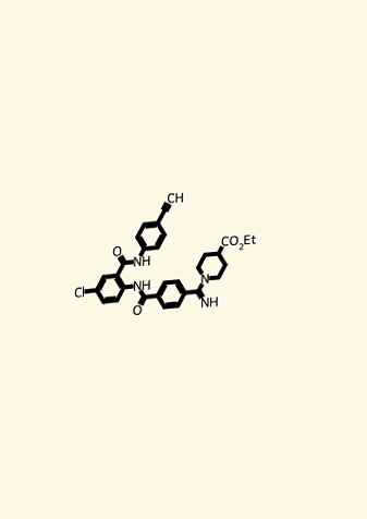 C#Cc1ccc(NC(=O)c2cc(Cl)ccc2NC(=O)c2ccc(C(=N)N3CCC(C(=O)OCC)CC3)cc2)cc1